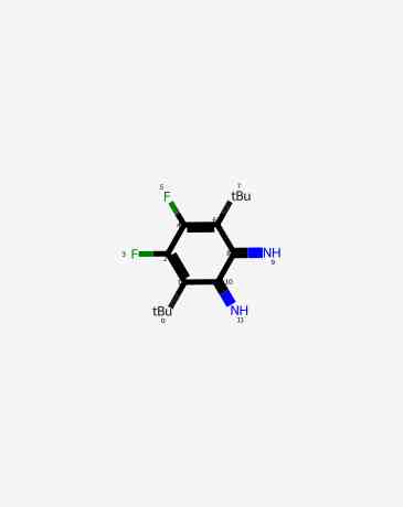 CC(C)(C)C1=C(F)C(F)=C(C(C)(C)C)C(=N)C1=N